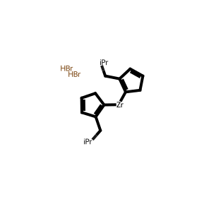 Br.Br.CC(C)CC1=[C]([Zr][C]2=C(CC(C)C)C=CC2)CC=C1